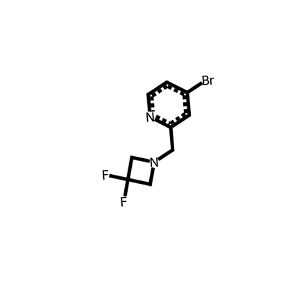 FC1(F)CN(Cc2cc(Br)ccn2)C1